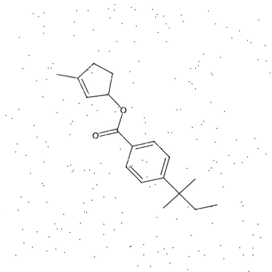 CCC(C)(C)c1ccc(C(=O)OC2C=C(C)CC2)cc1